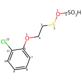 O=S(=O)(O)OSCCOc1ccccc1Cl